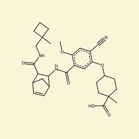 COc1cc(C#N)c(OC2CCC(C)(C(=O)O)CC2)cc1C(=O)NC1C2C=CC(C2)C1C(=O)NCC1(C)CCC1